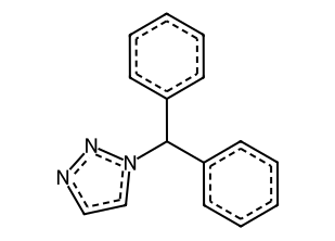 c1ccc(C(c2ccccc2)n2ccnn2)cc1